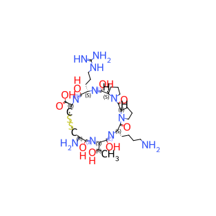 C[C@@H](O)[C@@H]1/N=C(\O)[C@@H](N)CSSC[C@@H](C(=O)O)/N=C(/O)[C@H](CCCNC(=N)N)/N=C(/O)[C@@H]2CCCN2C(=O)[C@@H]2CCCN2C(=O)[C@H](CCCCN)/N=C/1O